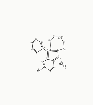 Cl.Cl.Clc1ccc2nc3c(c(-c4ccccc4)c2c1)CCNCC3